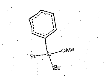 CC[Si](OC)(c1ccccc1)C(C)(C)C